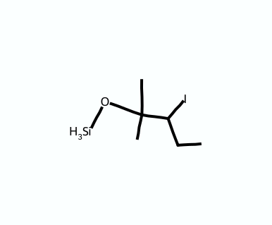 CCC(I)C(C)(C)O[SiH3]